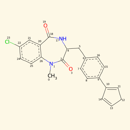 CN1C(=O)C(Cc2ccc(C3=CCC=C3)cc2)NC(=O)c2cc(Cl)ccc21